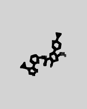 Cc1cc(F)c(C(=O)Nc2cccc(-c3nncn3C3CC3)n2)cc1-c1ccc(C2CC2)nc1